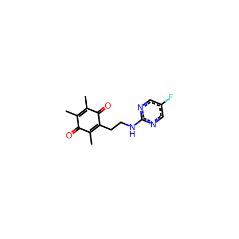 CC1=C(C)C(=O)C(CCNc2ncc(F)cn2)=C(C)C1=O